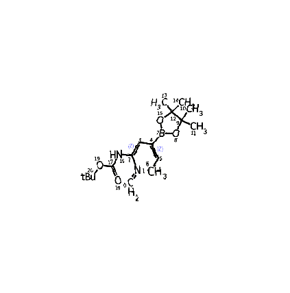 C=N/C(=C\C(=C/C)B1OC(C)(C)C(C)(C)O1)NC(=O)OC(C)(C)C